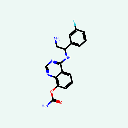 NCC(Nc1ncnc2c(OC(N)=O)cccc12)c1cccc(F)c1